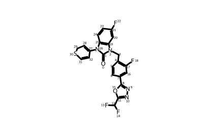 O=c1n(Cc2ccc(-c3nnc(C(F)F)o3)cc2F)c2cc(F)ccc2n1C1=CCSC=C1